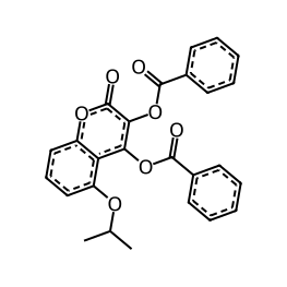 CC(C)Oc1cccc2oc(=O)c(OC(=O)c3ccccc3)c(OC(=O)c3ccccc3)c12